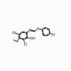 CCc1c(Cl)cc(/N=C/Oc2ccc(Cl)cc2)c(O)c1Cl